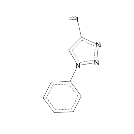 [123I]c1cn(-c2ccccc2)nn1